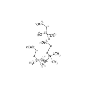 CCCCCCCCCCCC[N+](C)(C)C.CCCCCCCCCCCC[N+](C)(C)C.O=C([O-])CC(O)C(=O)[O-]